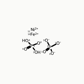 O=P([O-])(O)O.O=P([O-])([O-])[O-].[Fe+2].[Ni+2]